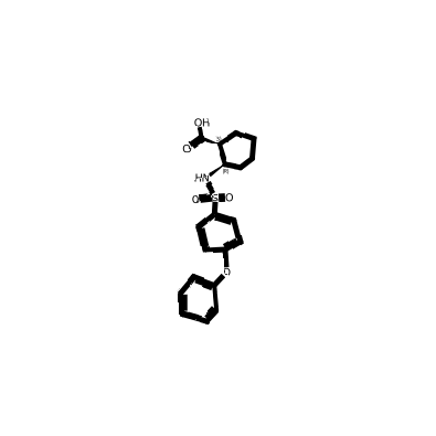 O=C(O)[C@H]1CCCC[C@H]1NS(=O)(=O)c1ccc(Oc2ccccc2)cc1